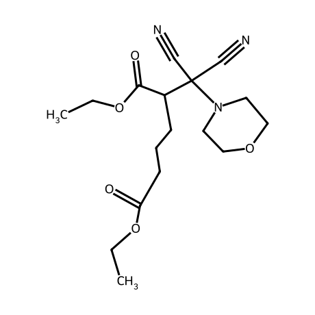 CCOC(=O)CCCC(C(=O)OCC)C(C#N)(C#N)N1CCOCC1